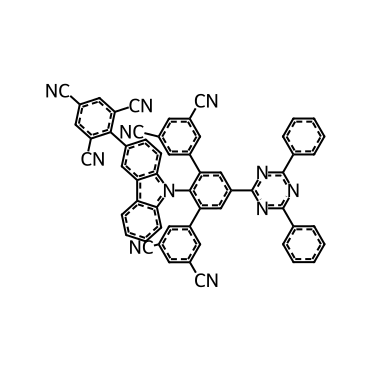 N#Cc1cc(C#N)cc(-c2cc(-c3nc(-c4ccccc4)nc(-c4ccccc4)n3)cc(-c3cc(C#N)cc(C#N)c3)c2-n2c3ccccc3c3cc(-c4c(C#N)cc(C#N)cc4C#N)ccc32)c1